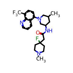 CC1CC(NC(=O)CC2(F)CCN(C)CC2)CN(c2ccc(C(F)(F)F)c3ncccc23)C1